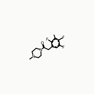 Cc1c(F)c(F)cc(CC(=O)N2CCN(C)CC2)c1F